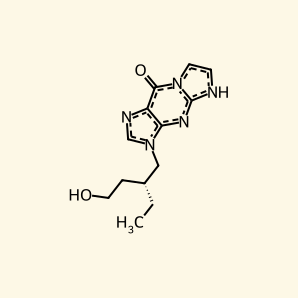 CC[C@H](CCO)Cn1cnc2c(=O)n3cc[nH]c3nc21